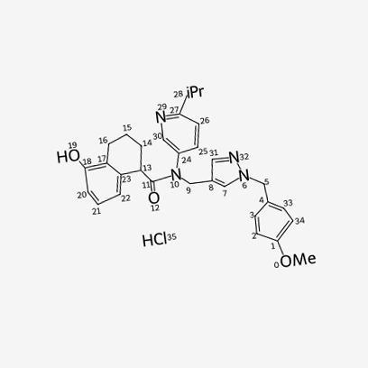 COc1ccc(Cn2cc(CN(C(=O)C3CCCc4c(O)cccc43)c3ccc(C(C)C)nc3)cn2)cc1.Cl